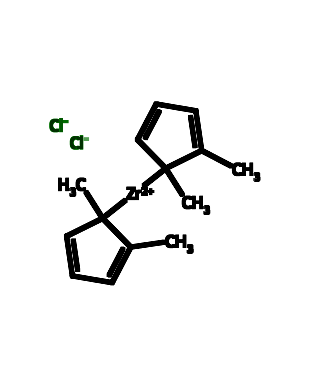 CC1=CC=C[C]1(C)[Zr+2][C]1(C)C=CC=C1C.[Cl-].[Cl-]